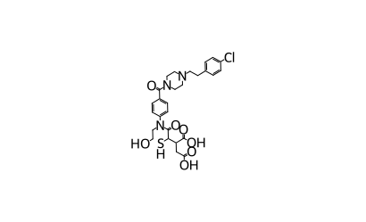 O=C(O)CC(C(=O)O)C(S)C(=O)N(CCO)c1ccc(C(=O)N2CCN(CCc3ccc(Cl)cc3)CC2)cc1